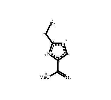 COC(=O)c1csc(CC(C)C)n1